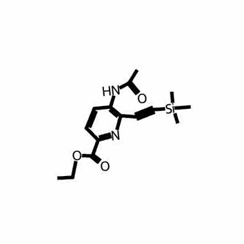 CCOC(=O)c1ccc(NC(C)=O)c(C#C[Si](C)(C)C)n1